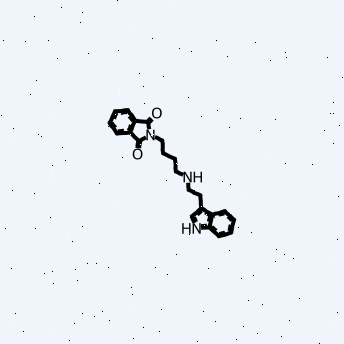 O=C1c2ccccc2C(=O)N1CCCCNCCc1c[nH]c2ccccc12